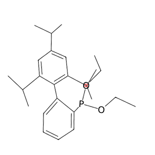 CCOP(OCC)c1ccccc1-c1c(C(C)C)cc(C(C)C)cc1C(C)C